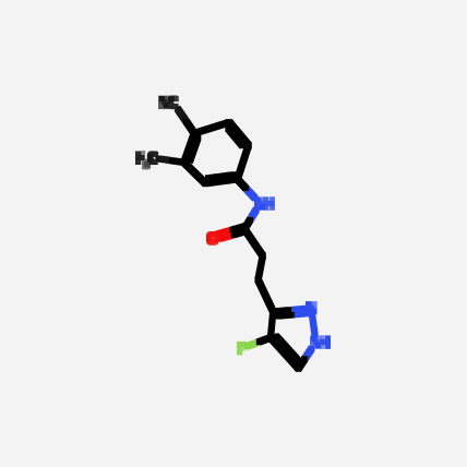 N#Cc1ccc(NC(=O)CCc2n[nH]cc2F)cc1C(F)(F)F